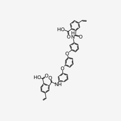 C=Cc1ccc(C(=O)O)c(C(=O)Nc2cccc(Oc3cccc(Oc4cccc(NC(=O)c5cc(C=C)ccc5C(=O)O)c4)c3)c2)c1